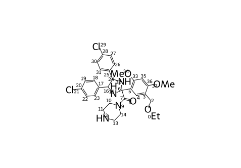 CCOCc1cc(C2(C(=O)N3CCNCC3)NC(c3ccc(Cl)cc3)C(c3ccc(Cl)cc3)N2)c(OC)cc1OC